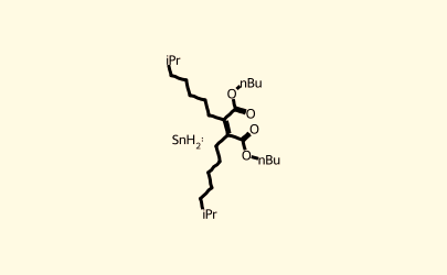 CCCCOC(=O)/C(CCCCCC(C)C)=C(/CCCCCC(C)C)C(=O)OCCCC.[SnH2]